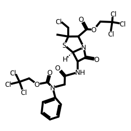 CC1(CCl)S[C@@H]2C(NC(=O)CN(C(=O)OCC(Cl)(Cl)Cl)c3ccccc3)C(=O)N2C1C(=O)OCC(Cl)(Cl)Cl